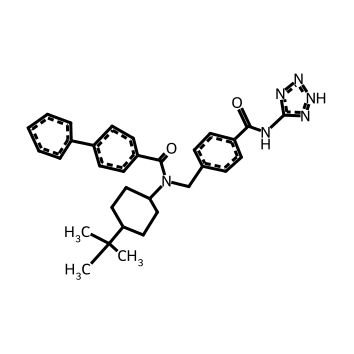 CC(C)(C)C1CCC(N(Cc2ccc(C(=O)Nc3nn[nH]n3)cc2)C(=O)c2ccc(-c3ccccc3)cc2)CC1